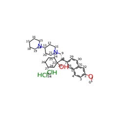 COc1ccc2cc([C@@H](CN3CCC(N4CCCCC4)CC3)C3(O)CCCCC3)ccc2c1.Cl.Cl